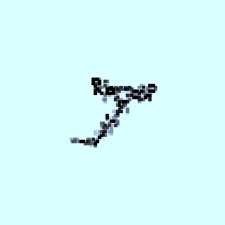 COc1cc2c(cc1OCc1cc(COc3cc4c(cc3OC)C(=O)N3c5ccccc5C[C@H]3CN4)cc(NC(=O)CNC(=O)CNC(=O)CNC(=O)CCC(C)(C)SSCCCC(C)=O)c1)N=C[C@@H]1Cc3ccccc3N1C2=O